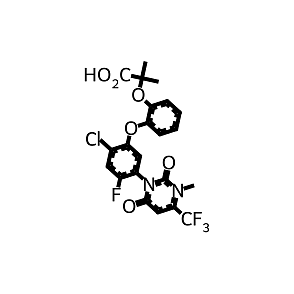 Cn1c(C(F)(F)F)cc(=O)n(-c2cc(Oc3ccccc3OC(C)(C)C(=O)O)c(Cl)cc2F)c1=O